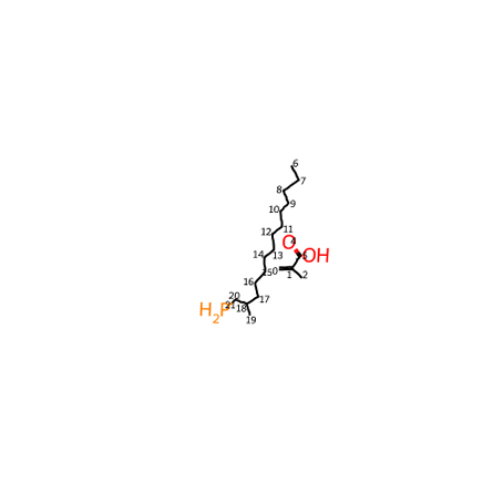 C=C(C)C(=O)O.CCCCCCCCCCCCC(C)CP